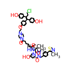 Cc1ncsc1-c1ccc(CNC(=O)[C@@H]2C[C@@H](O)CN2C(=O)C(NC(=O)CCCCC(=O)N2CCN(CCOc3ccc(C(=C(CCCl)c4ccc(O)cc4)c4ccc(O)cc4)cc3)CC2)C(C)(C)C)cc1